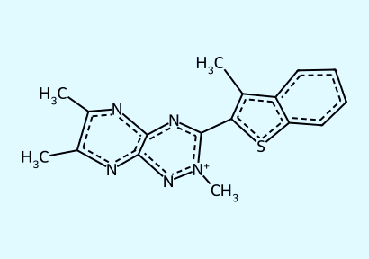 Cc1nc2nc(-c3sc4ccccc4c3C)[n+](C)nc2nc1C